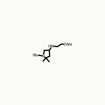 COCCNC1CN(C(C)(C)C)C(C)(C)C1